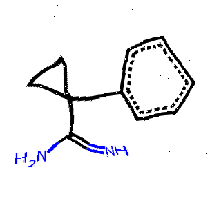 N=C(N)C1(c2ccccc2)CC1